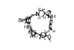 COc1ccc2cc1CN(C)CCCNC(=O)C1CCN(CC1)Cc1cc(Br)cc(c1)Nc1nccc-2n1